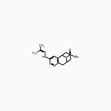 CC(C)=NNc1cc2c(nn1)CC1CCCC2N1C(=O)C(C)(C)C